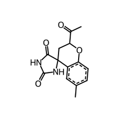 CC(=O)C1CC2(NC(=O)NC2=O)c2cc(C)ccc2O1